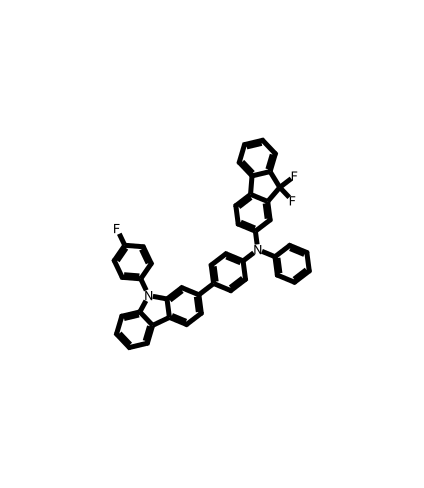 Fc1ccc(-n2c3ccccc3c3ccc(-c4ccc(N(c5ccccc5)c5ccc6c(c5)C(F)(F)c5ccccc5-6)cc4)cc32)cc1